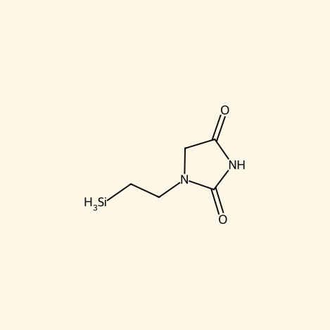 O=C1CN(CC[SiH3])C(=O)N1